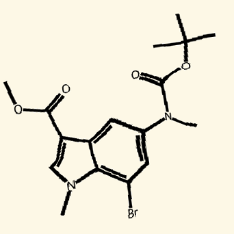 COC(=O)c1cn(C)c2c(Br)cc(N(C)C(=O)OC(C)(C)C)cc12